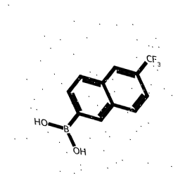 OB(O)c1ccc2cc(C(F)(F)F)ccc2c1